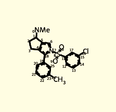 CNC1CCc2c1cn(S(=O)(=O)c1cccc(Cl)c1)c2-c1cccc(C)c1